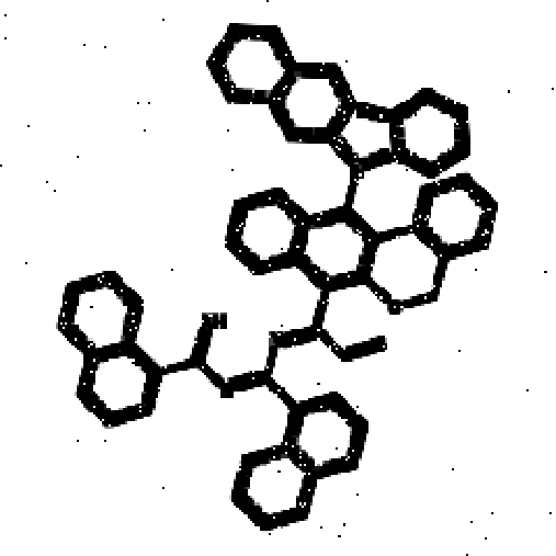 C=C/C(=N\C(=N/C(=N)c1cccc2ccccc12)c1cccc2ccccc12)c1c2c(c(-n3c4ccccc4c4cc5ccccc5cc43)c3ccccc13)-c1ccccc1CO2